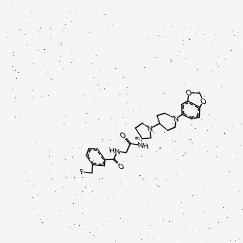 O=C(CNC(=O)c1cccc(CF)c1)N[C@@H]1CCN(C2CCN(c3ccc4c(c3)OCO4)CC2)C1